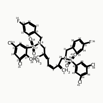 C=C(/C=C\C=C(/C)CN(Cc1ccc(F)cc1)S(=O)(=O)c1cc(Cl)cc(Cl)c1O)CN(Cc1ccc(F)cc1)S(=O)(=O)c1cc(Cl)cc(Cl)c1